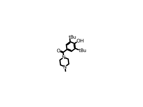 CN1CCN(C(=O)c2cc(C(C)(C)C)c(O)c(C(C)(C)C)c2)CC1